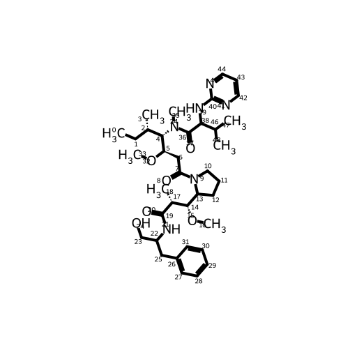 CC[C@H](C)[C@@H]([C@@H](CC(=O)N1CCCC1[C@H](OC)[C@@H](C)C(=O)NC(CO)Cc1ccccc1)OC)N(C)C(=O)C(Nc1ncccn1)C(C)C